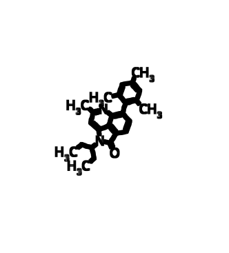 CCC(CC)N1C(=O)c2ccc(-c3c(C)cc(C)cc3C)c3nc(C)cc1c23